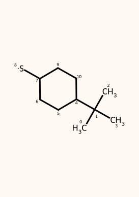 CC(C)(C)C1CCC([S])CC1